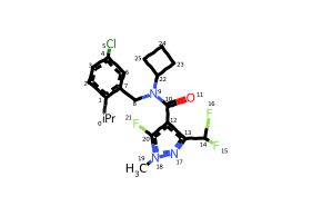 CC(C)c1ccc(Cl)cc1CN(C(=O)c1c(C(F)F)nn(C)c1F)C1CCC1